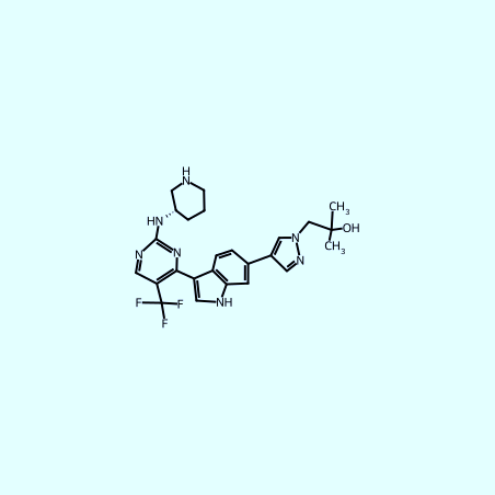 CC(C)(O)Cn1cc(-c2ccc3c(-c4nc(N[C@H]5CCCNC5)ncc4C(F)(F)F)c[nH]c3c2)cn1